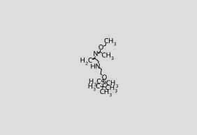 C=C(CNCCO[Si](C)(C)C(C)(C)C)/N=C(\C)OCC